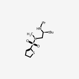 CC(C)N[C@H](CN(C)S(=O)(=O)C1=CCCS1)C(C)(C)C